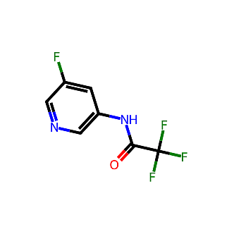 O=C(Nc1cncc(F)c1)C(F)(F)F